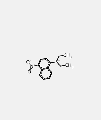 CC[S+](CC)c1ccc([N+](=O)[O-])c2ccccc12